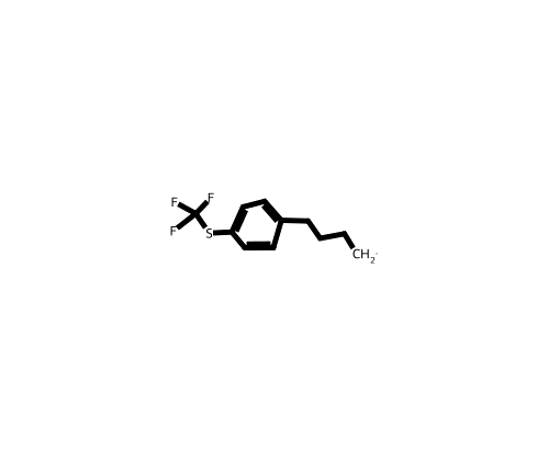 [CH2]CCCc1ccc(SC(F)(F)F)cc1